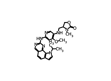 COc1cc(Nc2ncc3ccc4ccn(C(C)C)c4c3n2)ncc1NCC1COC(=O)N1C